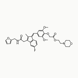 COc1cc(/C=C2/C(C)=C(CC(=O)NCc3ccco3)c3cc(F)ccc32)cc(OC)c1OCC(=O)OCCN1CCOCC1